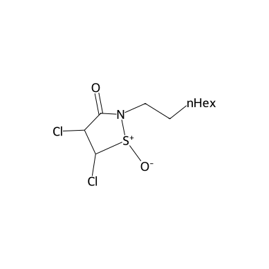 CCCCCCCCN1C(=O)C(Cl)C(Cl)[S+]1[O-]